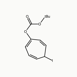 CC(C)(C)OC(=O)OC1=CC=CC(I)C=C1